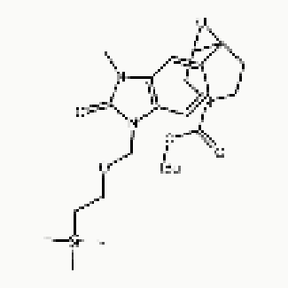 Cn1c(=O)n(COCC[Si](C)(C)C)c2ccc(C34CCN(C(=O)OC(C)(C)C)CC3O4)cc21